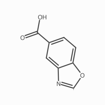 O=C(O)c1ccc2o[c]nc2c1